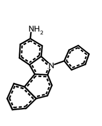 Nc1ccc2c3c4ccccc4ccc3n(-c3ccccc3)c2c1